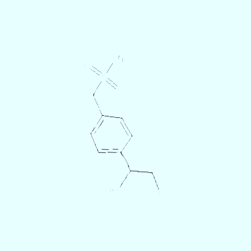 CCCS(=O)(=O)Cc1ccc(C(CC(C)C)C(C)C)cc1